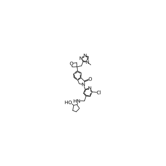 Cn1cnnc1CC1(c2ccc3c(c2)C(=O)N(c2cc(CNC4CCCC4O)cc(Cl)n2)C3)COC1